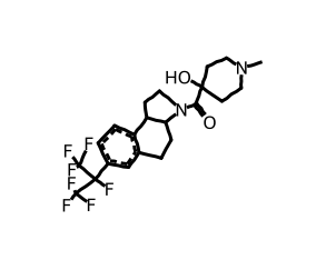 CN1CCC(O)(C(=O)N2CCC3c4ccc(C(F)(C(F)(F)F)C(F)(F)F)cc4CCC32)CC1